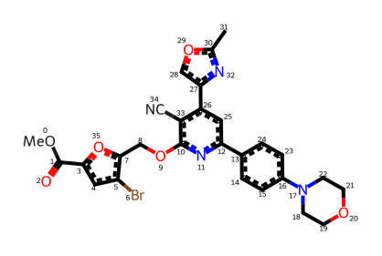 COC(=O)c1cc(Br)c(COc2nc(-c3ccc(N4CCOCC4)cc3)cc(-c3coc(C)n3)c2C#N)o1